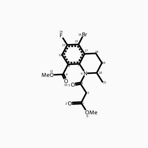 COC(=O)CC(=O)N1c2c(C(=O)OC)cc(F)c(Br)c2CCC1C